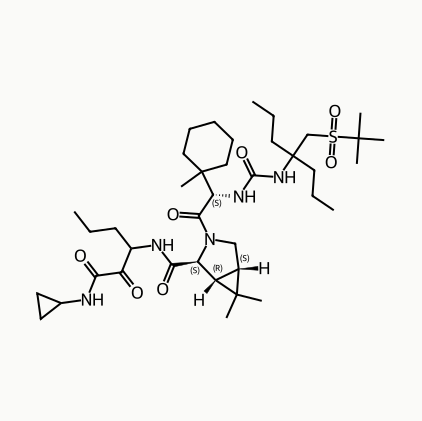 CCCC(NC(=O)[C@@H]1[C@@H]2[C@H](CN1C(=O)[C@@H](NC(=O)NC(CCC)(CCC)CS(=O)(=O)C(C)(C)C)C1(C)CCCCC1)C2(C)C)C(=O)C(=O)NC1CC1